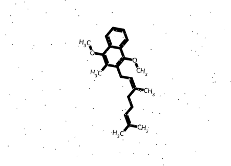 COc1c(C)c(CC=C(C)CCC=C(C)C)c(OC)c2ccccc12